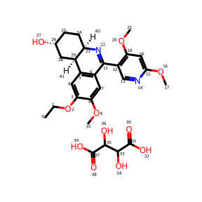 CCOc1cc2c(cc1OC)C(c1cnc(OC)cc1OC)=N[C@@H]1CC[C@@H](O)C[C@H]21.O=C(O)C(O)C(O)C(=O)O